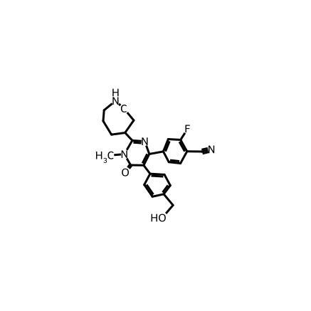 Cn1c(C2CCCNCC2)nc(-c2ccc(C#N)c(F)c2)c(-c2ccc(CO)cc2)c1=O